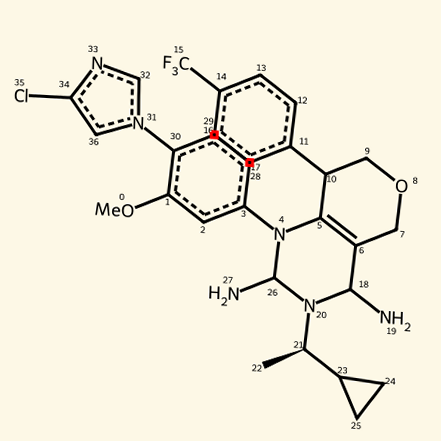 COc1cc(N2C3=C(COCC3c3ccc(C(F)(F)F)cc3)C(N)N([C@H](C)C3CC3)C2N)ccc1-n1cnc(Cl)c1